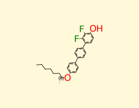 CCCCCC[C@@H](C)Oc1ccc(-c2ccc(-c3ccc(O)c(F)c3F)cc2)cc1